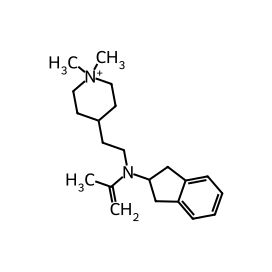 C=C(C)N(CCC1CC[N+](C)(C)CC1)C1Cc2ccccc2C1